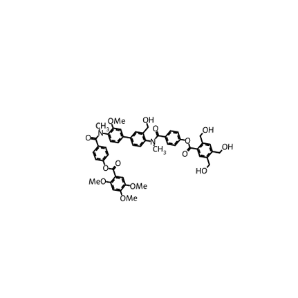 COc1cc(OC)c(C(=O)Oc2ccc(C(=O)N(C)c3ccc(-c4ccc(N(C)C(=O)c5ccc(OC(=O)c6cc(CO)c(CO)cc6CO)cc5)c(CO)c4)cc3OC)cc2)cc1OC